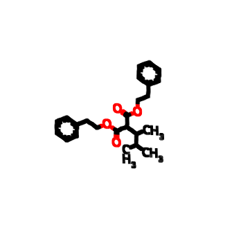 CC(C)C(C)C(C(=O)OCCc1ccccc1)C(=O)OCCc1ccccc1